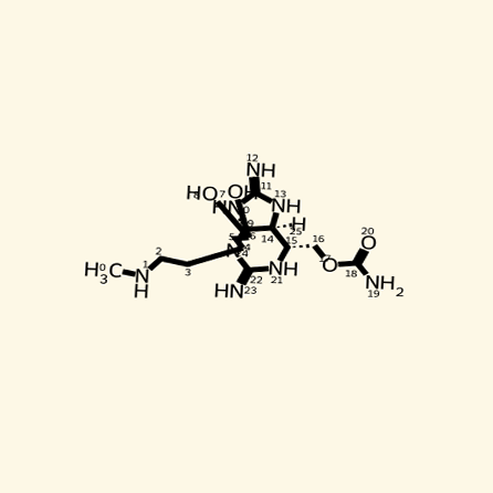 CNCCC1CC(O)(O)[C@]23NC(=N)N[C@H]2[C@H](COC(N)=O)NC(=N)N13